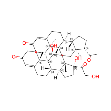 CC(=O)[C@H]1CC[C@H]2[C@@H]3CCC4=CC(=O)CC([C@]56[C@@H](O)C[C@@]7(C)[C@@H](CC[C@]7(O)C(=O)CO)[C@@H]5CCC5=CC(=O)CC[C@@]56C)[C@]4(C)[C@H]3CC[C@]12C